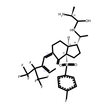 C=C1/C(=C\C(=C/C)C(F)(C(F)(F)F)C(F)(F)F)CC[C@H]2[C@H](C(C)NC(O)[C@H](C)N)CC[C@@]12S(=O)(=O)c1ccc(F)cc1